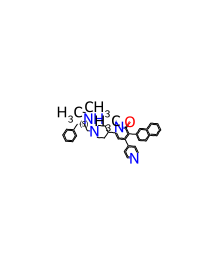 CC(C)N[C@@H](Cc1ccccc1)CN1CCC(c2cc(-c3ccncc3)c(-c3ccc4ccccc4c3)c(=O)n2C)CC1